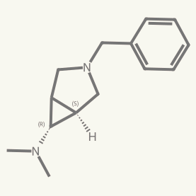 CN(C)[C@@H]1C2CN(Cc3ccccc3)C[C@H]21